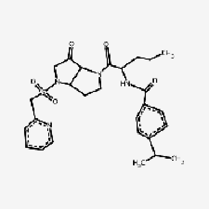 CCCC(NC(=O)c1ccc(C(C)C)cc1)C(=O)N1CCC2C1C(=O)CN2S(=O)(=O)Cc1ccccn1